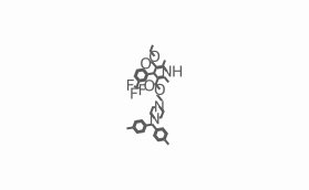 CCOC(=O)C1=C(C)NC(C)=C(C(=O)OCCN2CCN(C(c3ccc(C)cc3)c3ccc(C)cc3)CC2)C1c1cccc(C(F)(F)F)c1